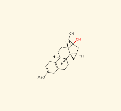 COC1=CCC2=C(CC[C@@H]3[C@@H]2CC[C@]2(C)[C@](O)(CC#N)C[C@H]4C[C@@]432)C1